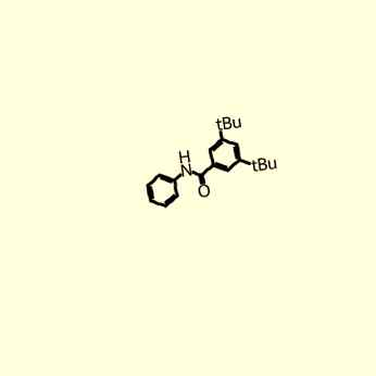 CC(C)(C)c1cc(C(=O)Nc2ccccc2)cc(C(C)(C)C)c1